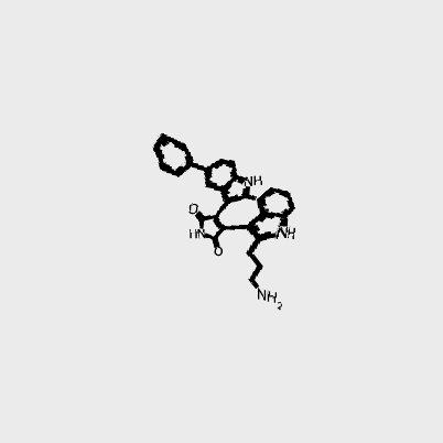 Cc1[nH]c2ccc(-c3ccccc3)cc2c1C1=C(c2c(CCCN)[nH]c3ccccc23)C(=O)NC1=O